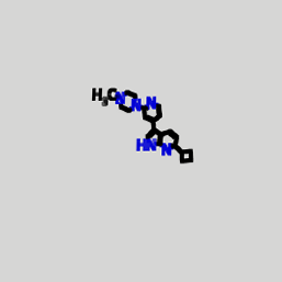 CN1CCN(c2cc(-c3c[nH]c4nc(C5CCC5)ccc34)ccn2)CC1